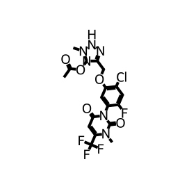 CC(=O)ON1C(COc2cc(-n3c(=O)cc(C(F)(F)F)n(C)c3=O)c(F)cc2Cl)=NNN1C